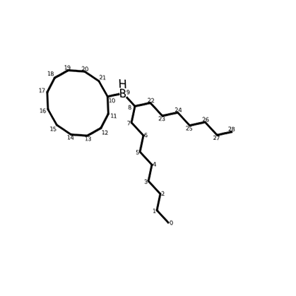 CCCCCCCCC(BC1CCCCCCCCCCC1)CCCCCCC